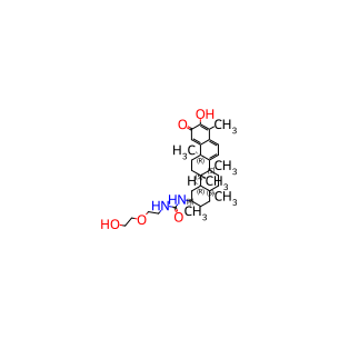 CC1=C(O)C(=O)C=C2C1=CC=C1[C@@]2(C)CC[C@@]2(C)[C@@H]3C[C@](C)(NC(=O)NCCOCCO)CC[C@]3(C)CC[C@]12C